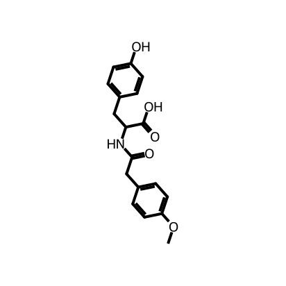 COc1ccc(CC(=O)NC(Cc2ccc(O)cc2)C(=O)O)cc1